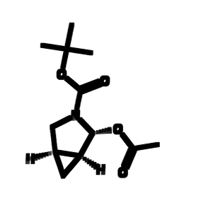 CC(=O)O[C@@H]1[C@H]2C[C@H]2CN1C(=O)OC(C)(C)C